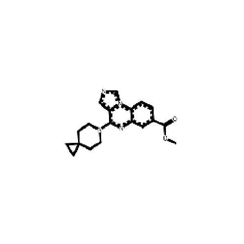 COC(=O)c1ccc2c(c1)nc(N1CCC3(CC1)CC3)c1cncn12